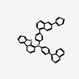 C1=CC(N(c2ccc(-c3cccc4ccccc34)cc2)c2ccc(-c3cccc4cc(-c5ccccc5)ccc34)cc2)=C2Sc3ccccc3C2C1